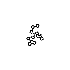 c1ccc(-c2cccc(-c3cccc(N(c4cccc(-c5ccccc5-c5cc6ccccc6c6ccccc56)c4)c4cccc5c4ccc4c6ccccc6sc54)c3)c2)cc1